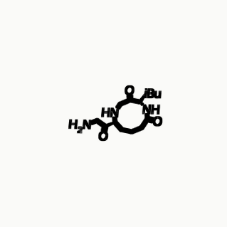 CC[C@H](C)[C@@H]1NC(=O)CCC[C@@H](C(=O)CN)NCC1=O